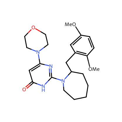 COc1ccc(OC)c(CC2CCCCCN2c2nc(N3CCOCC3)cc(=O)[nH]2)c1